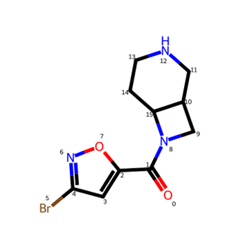 O=C(c1cc(Br)no1)N1CC2CNCCC21